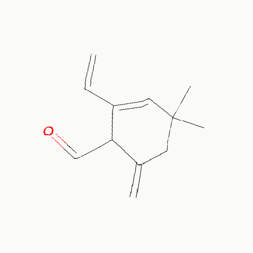 C=CC1=CC(C)(C)CC(=C)C1C=O